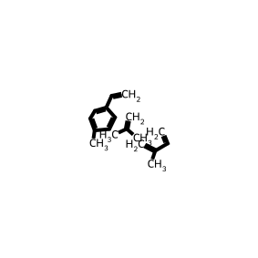 C=C(C)C.C=CC(=C)C.C=Cc1ccc(C)cc1